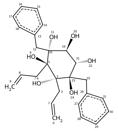 C=CC[C@@]1(O)[C@](O)(CC=C)[C@@](O)(Cc2ccccc2)[C@@H](O)[C@H](O)[C@]1(O)Cc1ccccc1